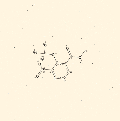 [2H]C([2H])([2H])Oc1c(C(=O)OC)cccc1[N+](=O)[O-]